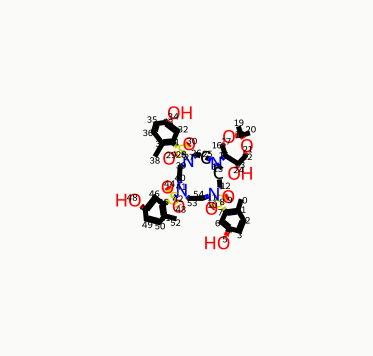 Cc1ccc(O)cc1S(=O)(=O)N1CCN(C2COC(C)(C)OCC2O)CCN(S(=O)(=O)c2cc(O)ccc2C)CCN(S(=O)(=O)c2cc(O)ccc2C)CC1